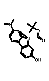 CC(C)(C)OC=O.CN(C)c1ccc2c3ccc(O)cc3n3c2c1-3